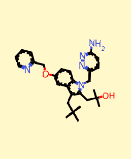 CC(C)(C)Cc1c(CC(C)(C)O)n(Cc2ccc(N)nn2)c2ccc(OCc3ccccn3)cc12